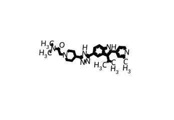 Cc1cc(-c2[nH]c3ccc(-c4nnc(C5CCN(CC(=O)N(C)C)CC5)[nH]4)cc3c2C(C)C)ccn1